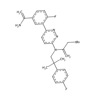 C=C(N)c1ccc(F)c(-c2ccc(N(CC(C)(C)c3ccc(F)cc3)C(=C)CC(C)(C)C)nn2)c1